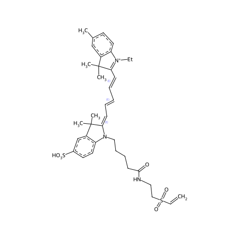 C=CS(=O)(=O)CCNC(=O)CCCCN1/C(=C/C=C/C=C/C2=[N+](CC)c3ccc(C)cc3C2(C)C)C(C)(C)c2cc(S(=O)(=O)O)ccc21